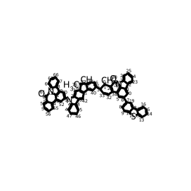 CC1c2c(c3cc(-c4ccc5sc6ccccc6c5c4)cc4c5ccccc5n(c2=O)c34)C=CC1c1ccc2c(c1)-c1cc3c4ccccc4n(-c4cc5c6ccccc6c(=O)n6c7ccccc7c(c4)c56)c3cc1C2(C)C